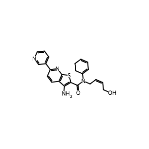 Nc1c(C(=O)N(C/C=C\CO)C2=CC=CCC2)sc2nc(-c3cccnc3)ccc12